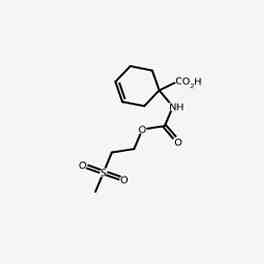 CS(=O)(=O)CCOC(=O)NC1(C(=O)O)CC=CCC1